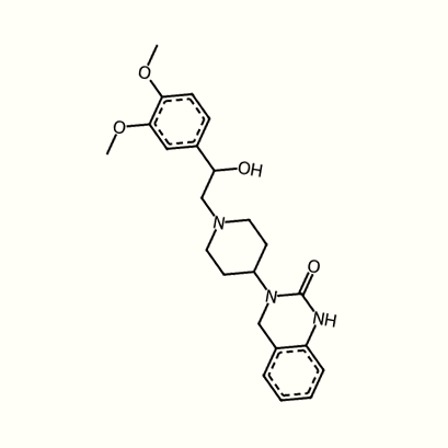 COc1ccc(C(O)CN2CCC(N3Cc4ccccc4NC3=O)CC2)cc1OC